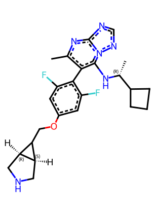 Cc1nc2ncnn2c(N[C@H](C)C2CCC2)c1-c1c(F)cc(OCC2[C@H]3CNC[C@@H]23)cc1F